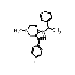 CC(c1ccccc1)n1nc(-c2ccc(F)cc2)c2c1CCN(C)C2